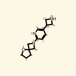 c1cc(N2CC3(CCCO3)C2)ncc1C1CNC1